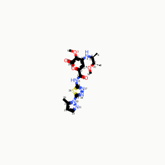 COc1c(N[C@@H](C)[C@H](C)OC)cc(C(=O)Nc2nnc(-n3nccc3C)s2)oc1=O